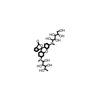 CC(O)C(O)C(O)C(O)N(C)c1ccc2c(c1)Oc1cc(N(C)C(O)C(O)C(O)C(O)CO)ccc1C21OC(=O)c2ccccc21